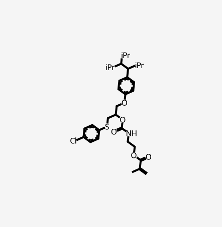 C=C(C)C(=O)OCCNC(=O)OC(COc1ccc(C(C(C)C)C(C(C)C)C(C)C)cc1)CSc1ccc(Cl)cc1